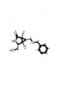 O=C1N[C@H](CO)[C@H]2[C@H](COCc3ccccc3)[C@@H]12